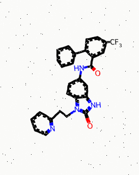 O=C(Nc1ccc2c(c1)[nH]c(=O)n2CCc1ccccn1)c1cc(C(F)(F)F)ccc1-c1ccccc1